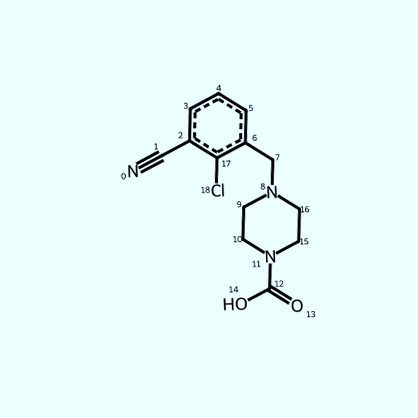 N#Cc1cccc(CN2CCN(C(=O)O)CC2)c1Cl